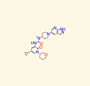 CN(C(=O)Nc1cc(C2CC2)cn([C@H]2CCCOC2)c1=O)C1CCN(c2cnc3[nH]ncc3c2)CC1